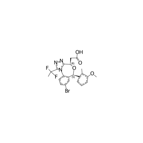 COc1cccc([C@@H]2O[C@H](CC(=O)O)c3nnc(C(C)(F)F)n3-c3ccc(Br)cc32)c1C